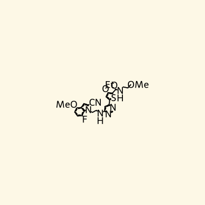 CCOc1cc(-c2cc(NCCn3c(C#N)cc4c(OC)ccc(F)c43)ncn2)sc1C(=O)NCCOC